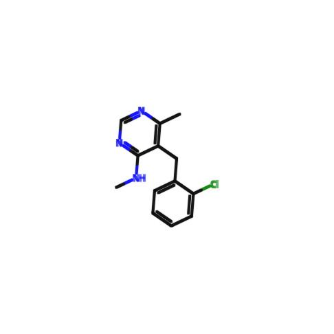 CNc1ncnc(C)c1Cc1ccccc1Cl